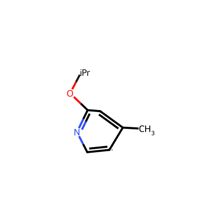 Cc1[c]cnc(OC(C)C)c1